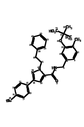 Cc1ccc(CNC(=O)c2cc(-c3ccc(C(C)(C)C)cc3)nn2CCc2ccccc2)cc1OC(C)(C)C(=O)O